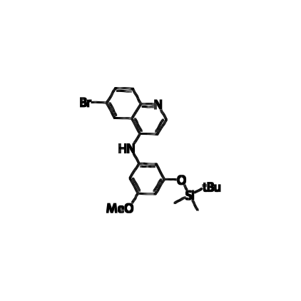 COc1cc(Nc2ccnc3ccc(Br)cc23)cc(O[Si](C)(C)C(C)(C)C)c1